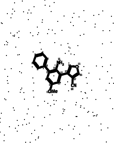 COc1cc(-c2ccccc2)c(N)c(-c2cocc2C#N)c1